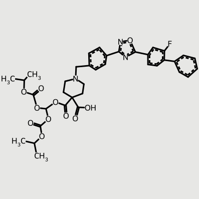 CC(C)OC(=O)OC(OC(=O)OC(C)C)OC(=O)C1(C(=O)O)CCN(Cc2ccc(-c3noc(-c4ccc(-c5ccccc5)c(F)c4)n3)cc2)CC1